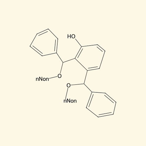 CCCCCCCCCOC(c1ccccc1)c1cccc(O)c1C(OCCCCCCCCC)c1ccccc1